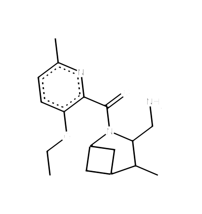 CCOc1ccc(C)nc1C(=O)N1C2CC(C2)C(C)C1CN